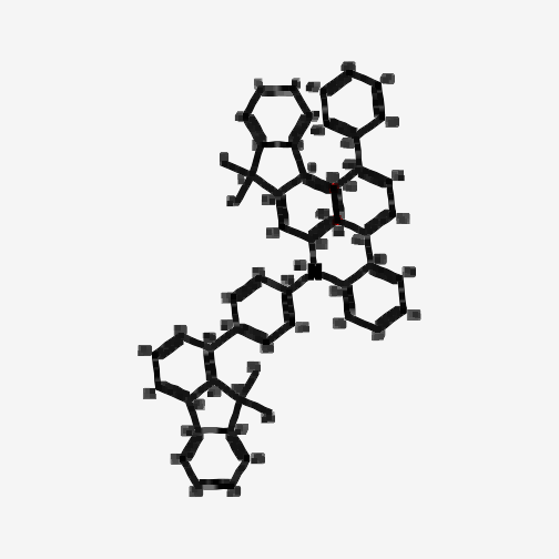 CC1(C)c2ccccc2-c2ccc(N(c3ccc(-c4cccc5c4C(C)(C)c4ccccc4-5)cc3)c3ccccc3-c3ccc(-c4ccccc4)cc3)cc21